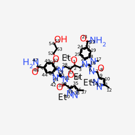 CCOC(Cn1/c(=N/C(=O)c2cc(C)nn2CC)n(C)c2cc(C(N)=O)ccc21)C(Cn1/c(=N/C(=O)c2cc(C)nn2CC)n(C)c2cc(C(N)=O)cc(OCCCO)c21)OCC